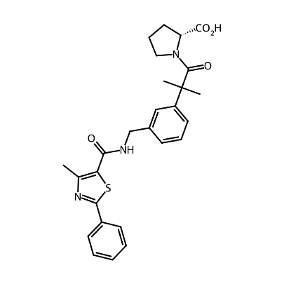 Cc1nc(-c2ccccc2)sc1C(=O)NCc1cccc(C(C)(C)C(=O)N2CCC[C@@H]2C(=O)O)c1